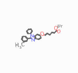 Cc1cccc(-c2nc3ccc(OCCCCCC(=O)OC(C)C)cc3n2-c2ccccc2)c1